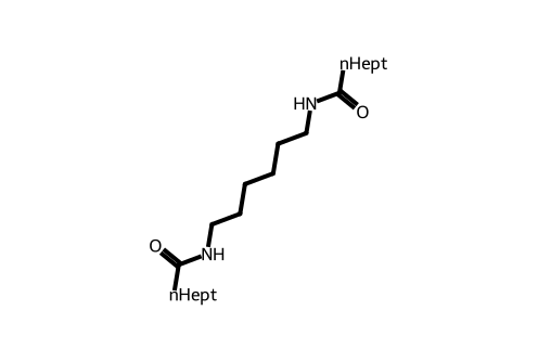 CCCCCCCC(=O)NCCCCCCNC(=O)CCCCCCC